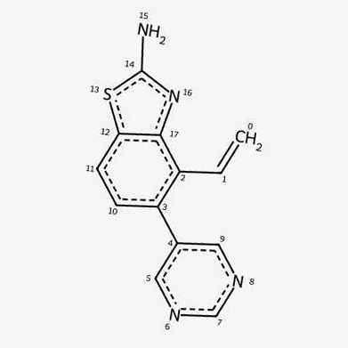 C=Cc1c(-c2cncnc2)ccc2sc(N)nc12